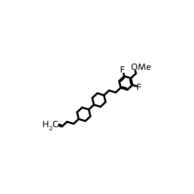 C=CCCC1CCC(C2CCC(CCc3cc(F)c(COC)c(F)c3)CC2)CC1